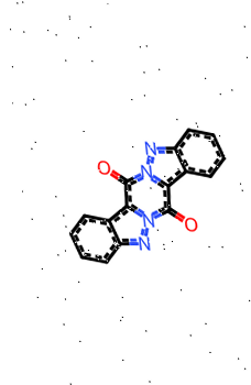 O=c1c2c3ccccc3nn2c(=O)c2c3ccccc3nn12